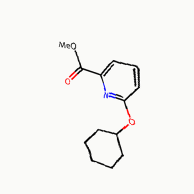 COC(=O)c1cccc(OC2CCCCC2)n1